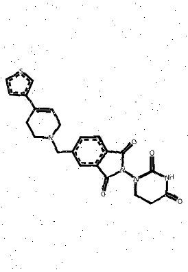 O=C1CCN(N2C(=O)c3ccc(CN4CC=C(c5ccsc5)CC4)cc3C2=O)C(=O)N1